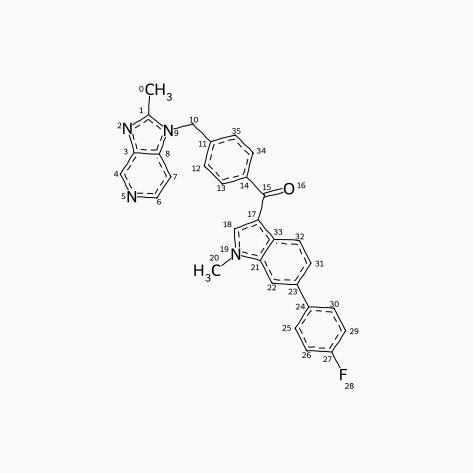 Cc1nc2cnccc2n1Cc1ccc(C(=O)c2cn(C)c3cc(-c4ccc(F)cc4)ccc23)cc1